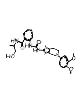 COc1ccc(N2CCc3nc(NC(=O)Nc4ccccc4C(=O)NC(C)CO)sc3C2)cc1OC